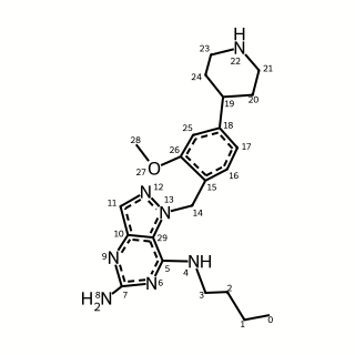 CCCCNc1nc(N)nc2cnn(Cc3ccc(C4CCNCC4)cc3OC)c12